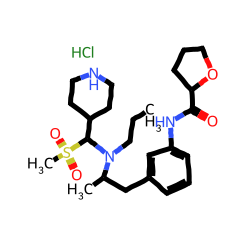 CCCN(C(C)Cc1cccc(NC(=O)C2CCCO2)c1)C(C1CCNCC1)S(C)(=O)=O.Cl